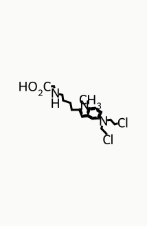 Cn1c(CCCCNCC(=O)O)cc2cc(N(CCCl)CCCl)ccc21